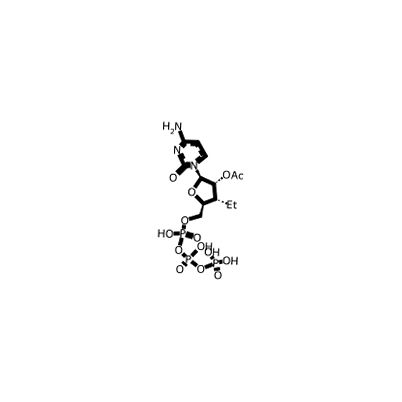 CC[C@H]1[C@@H](OC(C)=O)[C@H](n2ccc(N)nc2=O)O[C@@H]1COP(=O)(O)OP(=O)(O)OP(=O)(O)O